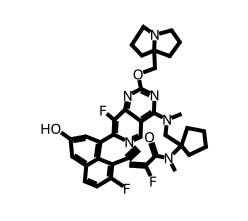 C#Cc1c(F)ccc2cc(O)cc(-c3ncc4c(N(C)CC5(N(C)C(=O)C(=C)F)CCCC5)nc(OCC56CCCN5CCC6)nc4c3F)c12